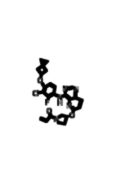 C=CC(=O)N1CC[C@H](Oc2ccc3ncnc(Nc4ccc(OC5CC6(CC6)C5)c(Cl)c4F)c3n2)C1